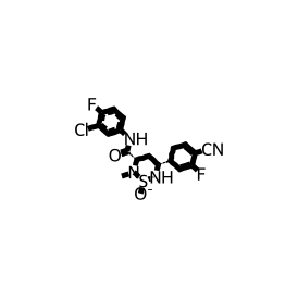 CN1[C@H](C(=O)Nc2ccc(F)c(Cl)c2)C[C@H](C2C=C(F)C(C#N)=CC2)N[S+]1[O-]